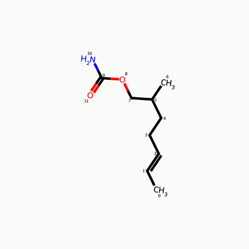 CC=CCCC(C)COC(N)=O